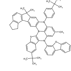 Cc1cc2c3c(c1)N(c1cccc4c1oc1ccccc14)c1c(sc4ccc(C(C)(C)C)cc14)B3c1cc3c(cc1N2c1ccc(C(C)(C)C)cc1)C(C)(C)c1ccc2c(c1-3)CCC2